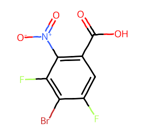 O=C(O)c1cc(F)c(Br)c(F)c1[N+](=O)[O-]